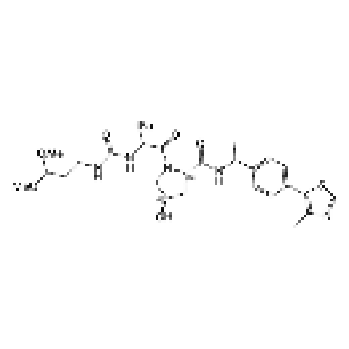 COC(CCNC(=O)NC(C(=O)N1C[C@H](O)C[C@H]1C(=O)NC(C)c1ccc(-c2scnc2C)cc1)C(C)(C)C)OC